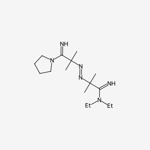 CCN(CC)C(=N)C(C)(C)N=NC(C)(C)C(=N)N1CCCC1